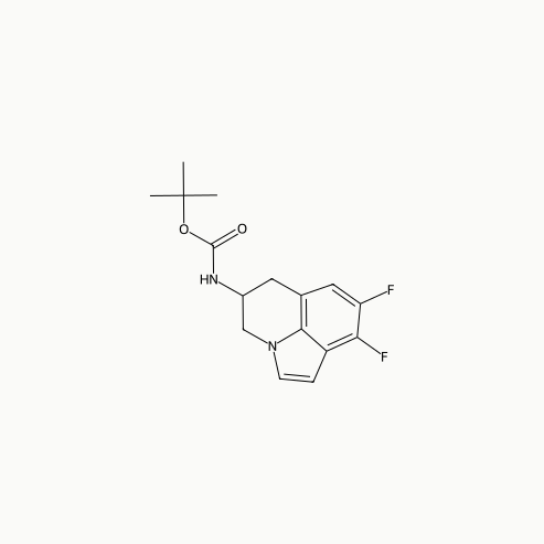 CC(C)(C)OC(=O)NC1Cc2cc(F)c(F)c3ccn(c23)C1